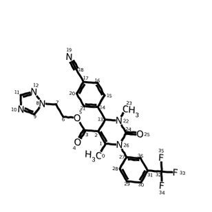 CC1=C(C(=O)OCCn2cncn2)C(c2ccc(C#N)cc2)N(C)C(=O)N1c1cccc(C(F)(F)F)c1